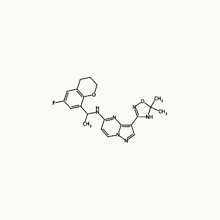 CC(Nc1ccn2ncc(C3=NOC(C)(C)N3)c2n1)c1cc(F)cc2c1OCCC2